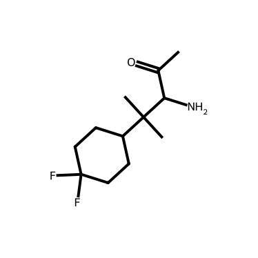 CC(=O)C(N)C(C)(C)C1CCC(F)(F)CC1